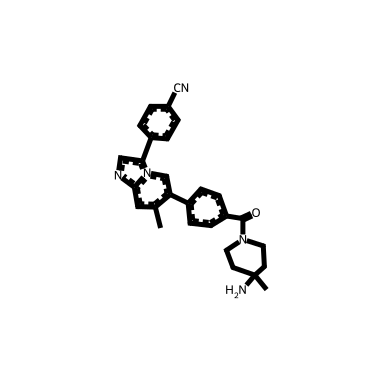 Cc1cc2ncc(-c3ccc(C#N)cc3)n2cc1-c1ccc(C(=O)N2CCC(C)(N)CC2)cc1